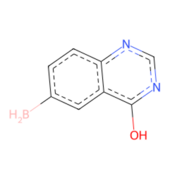 Bc1ccc2ncnc(O)c2c1